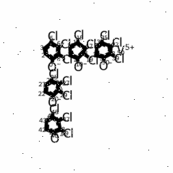 [O-]c1ccc(Cl)c(Cl)c1Cl.[O-]c1ccc(Cl)c(Cl)c1Cl.[O-]c1ccc(Cl)c(Cl)c1Cl.[O-]c1ccc(Cl)c(Cl)c1Cl.[O-]c1ccc(Cl)c(Cl)c1Cl.[V+5]